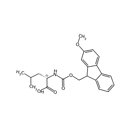 COc1ccc2c(c1)C(COC(=O)N[C@@H](CC(C)C)C(=O)O)c1ccccc1-2